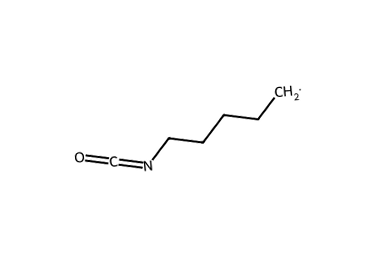 [CH2]CCCCN=C=O